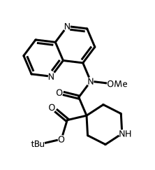 CON(C(=O)C1(C(=O)OC(C)(C)C)CCNCC1)c1ccnc2cccnc12